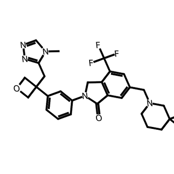 Cn1cnnc1CC1(c2cccc(N3Cc4c(cc(CN5CCCC6(CC6)C5)cc4C(F)(F)F)C3=O)c2)COC1